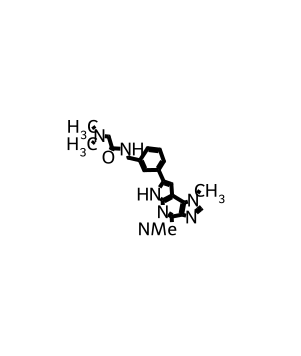 CNc1nc2[nH]c(-c3cccc(CNC(=O)CN(C)C)c3)cc2c2c1ncn2C